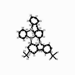 CC(C)(C)c1ccc2c(c1)c1cc(C(C)(C)C)cc3c1n2-c1ccc2c4ccccc4n4c2c1B3c1ccccc1-4